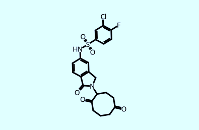 O=C1CCCC(=O)C(N2Cc3cc(NS(=O)(=O)c4ccc(F)c(Cl)c4)ccc3C2=O)CC1